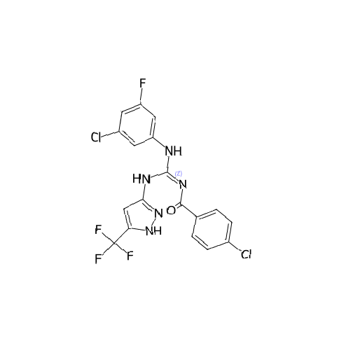 O=C(/N=C(/Nc1cc(F)cc(Cl)c1)Nc1cc(C(F)(F)F)[nH]n1)c1ccc(Cl)cc1